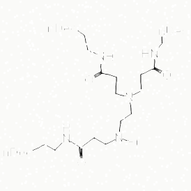 CCCCCCCCCCCCNC(=O)CCN(CC)CCN(CCC(=O)NCCCCCCCCCCC)CCC(=O)NCCCCCCCCCCCC